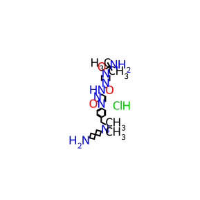 CC(Cc1ccc(-n2ccc(NC(=O)N3CCN(C(=O)C(C)(C)N)CC3)nc2=O)cc1)N(C)C1CC2(CC(N)C2)C1.Cl